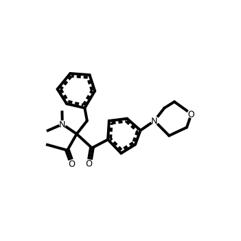 CC(=O)C(Cc1ccccc1)(C(=O)c1ccc(N2CCOCC2)cc1)N(C)C